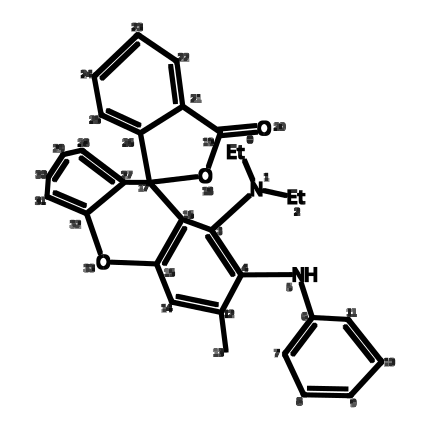 CCN(CC)c1c(Nc2ccccc2)c(C)cc2c1C1(OC(=O)c3ccccc31)c1ccccc1O2